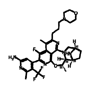 Cc1nc(N)cc(-c2nc3c4c(nc(CCCN5CCOCC5)c(C)c4c2F)N2C[C@H]4CC[C@H](N4)[C@H]2[C@H](C)O3)c1C(F)(F)F